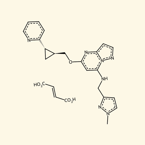 Cn1ccc(CNc2cc(OC[C@H]3C[C@@H]3c3ccccn3)nc3ccnn23)n1.O=C(O)C=CC(=O)O